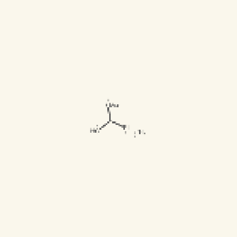 CCC(O)OC.[SrH2]